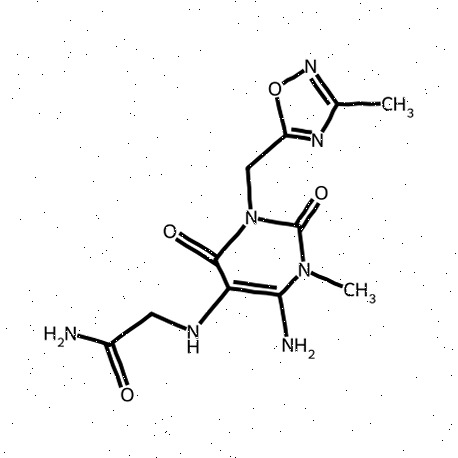 Cc1noc(Cn2c(=O)c(NCC(N)=O)c(N)n(C)c2=O)n1